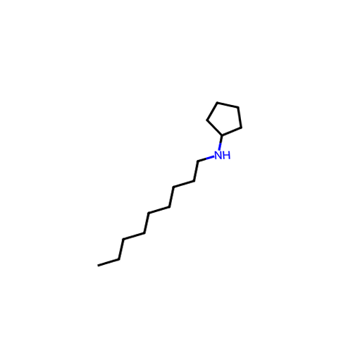 CCCCCCCCCNC1CCCC1